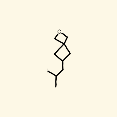 CC(I)CC1CC2(COC2)C1